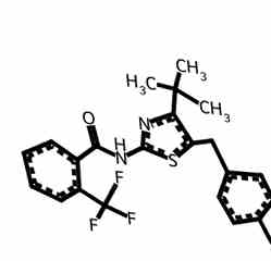 CC(C)(C)c1nc(NC(=O)c2ccccc2C(F)(F)F)sc1Cc1ccc(Cl)cc1